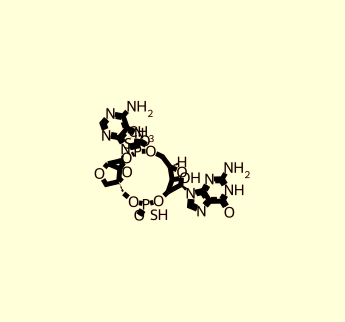 CSP1(=O)OC[C@H]2O[C@@H](n3cnc4c(=O)[nH]c(N)nc43)C(OP(=O)(S)OC[C@]34COC(C3O1)[C@H](n1cnc3c(N)ncnc31)O4)C2O